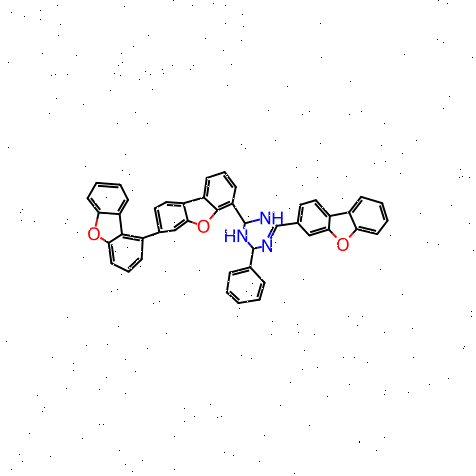 c1ccc(C2N=C(c3ccc4c(c3)oc3ccccc34)NC(c3cccc4c3oc3cc(-c5cccc6oc7ccccc7c56)ccc34)N2)cc1